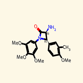 COc1ccc([C@H]2[C@H](N)C(=O)N2c2cc(OC)c(OC)c(OC)c2)cc1C